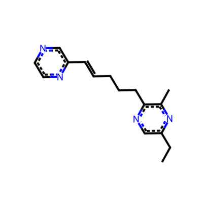 CCc1cnc(CCC/C=C/c2cnccn2)c(C)n1